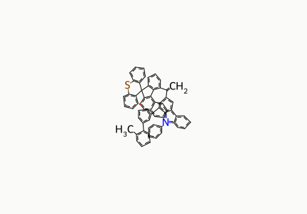 C=C(c1cc(-c2cccc(-c3ccccc3C)c2)c2c(c1)c1ccccc1n2-c1ccccc1)c1cccc2c1-c1c(ccc3ccccc13)C21c2ccccc2Sc2ccccc21